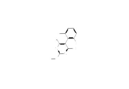 CSc1nc(Cl)c(-c2c(F)cccc2Cl)c(Cl)n1